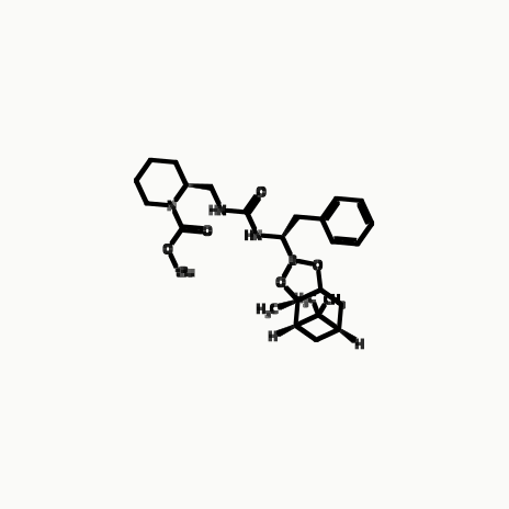 CC(C)(C)OC(=O)N1CCCC[C@H]1CNC(=O)N[C@@H](Cc1ccccc1)B1OC2C[C@@H]3C[C@@H](C3(C)C)[C@]2(C)O1